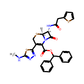 CNc1nnc(C2=C(C(=O)OC(c3ccccc3)c3ccccc3)N3C(=O)[C@@H](NC(=O)Cc4cccs4)[C@@H]3SC2)s1